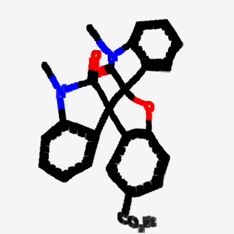 CCOC(=O)c1ccc2c(c1)C1(C(=O)N(C)c3ccccc31)C1(O2)C(=O)N(C)c2ccccc21